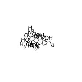 CC1c2ccc(CC3CCC3)c(O)c2C(=O)C2=C(O)C3(O)C(=O)C(C(N)=O)=C(O)C(N(C)C)C3C(O)C21